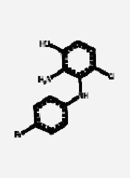 Nc1c(O)ccc(Cl)c1Nc1ccc(Br)cc1